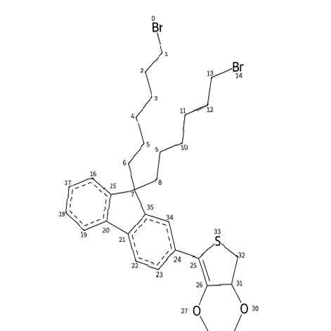 BrCCCCCCC1(CCCCCCBr)c2ccccc2-c2ccc(C3=C4OCCOC4CS3)cc21